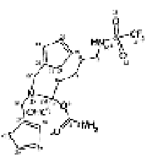 NC(=O)O[C@](C=O)(CCCCNS(=O)(=O)C(F)(F)F)N(Cc1cccs1)Cc1cccs1